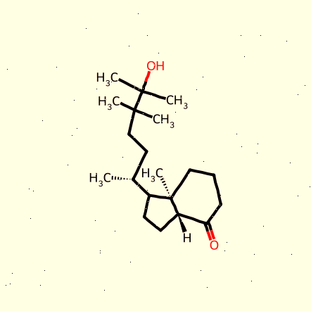 C[C@H](CCC(C)(C)C(C)(C)O)C1CC[C@H]2C(=O)CCC[C@]12C